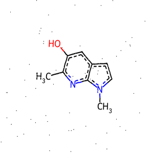 Cc1nc2c(ccn2C)cc1O